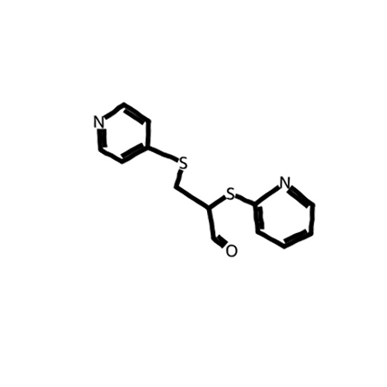 O=CC(CSc1ccncc1)Sc1ccccn1